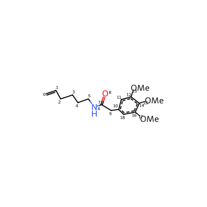 C=CCCCCNC(=O)Cc1cc(OC)c(OC)c(OC)c1